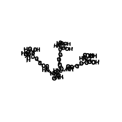 CNC(=O)C(CCCCNC(=O)COCCOCCOCCOC1OC(CO)C(O)C(O)C1NC(C)=O)NC(=O)C(CCCCNC(=O)COCCOCCOCCOC1OC(CO)C(O)C(O)C1NC(C)=O)NC(=O)COCCOCCOCCOC1OC(CO)C(O)C(O)C1NC(C)=O